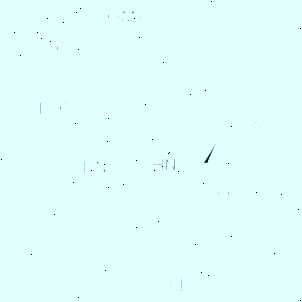 COC(=O)c1cccc(Nc2ccc(Cl)cc2NC(=O)[C@H]2CCCO2)c1C